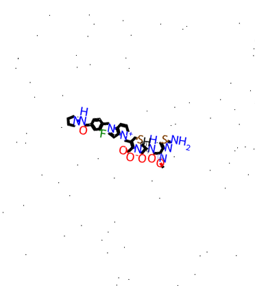 CO/N=C(\C(=O)N[C@@H]1C(=O)N2C(C(=O)[O-])=C(C[n+]3cccc4c3ccn4Cc3ccc(C(=O)NN4CCCC4)cc3F)CS[C@H]12)c1csc(N)n1